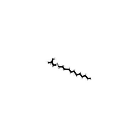 [CH2]CCCCCCCCCCCSCC(C)C